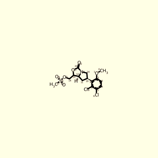 COc1ccc(Cl)c(Cl)c1[C@H]1C[C@H]2C(COS(C)(=O)=O)OC(=O)N2C1